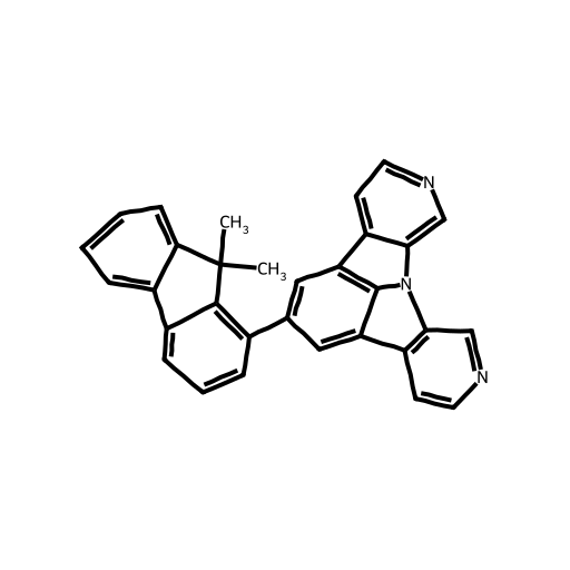 CC1(C)c2ccccc2-c2cccc(-c3cc4c5ccncc5n5c6cnccc6c(c3)c45)c21